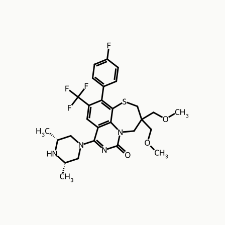 COCC1(COC)CSc2c(-c3ccc(F)cc3)c(C(F)(F)F)cc3c(N4C[C@@H](C)N[C@@H](C)C4)nc(=O)n(c23)C1